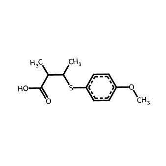 COc1ccc(SC(C)C(C)C(=O)O)cc1